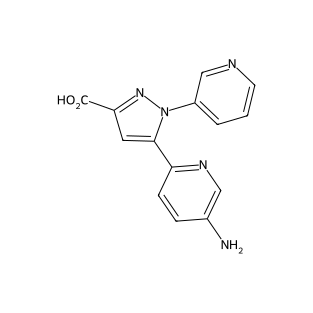 Nc1ccc(-c2cc(C(=O)O)nn2-c2cccnc2)nc1